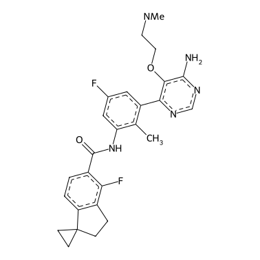 CNCCOc1c(N)ncnc1-c1cc(F)cc(NC(=O)c2ccc3c(c2F)CCC32CC2)c1C